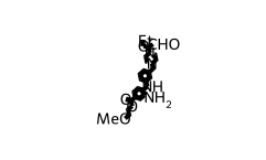 CCOC(C=O)N1CCN(Cc2cccc(Nc3ccc(C(=O)OCCOC)cc3N)c2)CC1